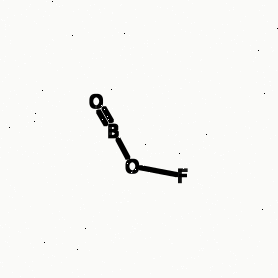 O=BOF